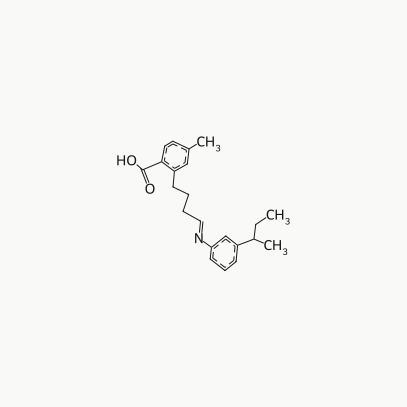 CCC(C)c1cccc(N=CCCCc2cc(C)ccc2C(=O)O)c1